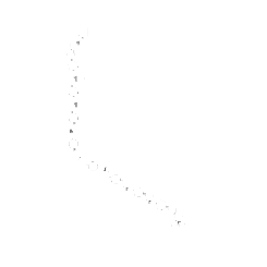 C=CC(=O)OCOc1ccc(C(=O)Oc2ccc(C(=O)Oc3ccc(OC(=O)c4ccc(OCOc5ccc(C(=O)Oc6ccc(OC(=O)c7ccc(OC(=O)c8ccc(OCOC(=O)C=C)cc8)cc7)cc6)cc5)cc4)cc3)cc2)cc1